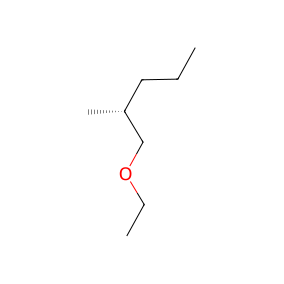 CCC[C@@H](C)COCC